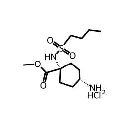 CCCCS(=O)(=O)N[C@]1(C(=O)OC)CC[C@H](N)CC1.Cl